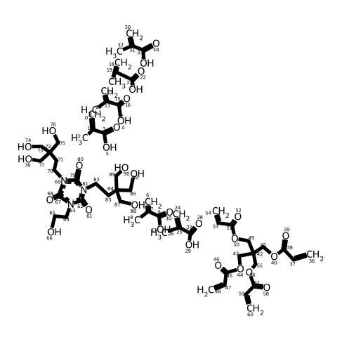 C=C(C)C(=O)O.C=C(C)C(=O)O.C=C(C)C(=O)O.C=C(C)C(=O)O.C=C(C)C(=O)O.C=C(C)C(=O)O.C=CC(=O)OCC(COC(=O)C=C)(COC(=O)C=C)COC(=O)C=C.O=c1n(CCO)c(=O)n(CCC(CO)(CO)CO)c(=O)n1CCC(CO)(CO)CO